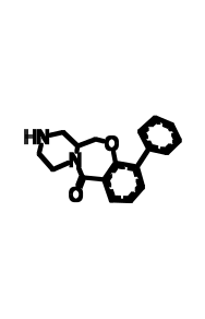 O=C1c2cccc(-c3ccccc3)c2OCC2CNCCN12